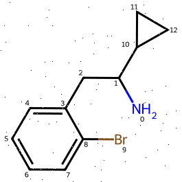 NC(Cc1ccccc1Br)C1CC1